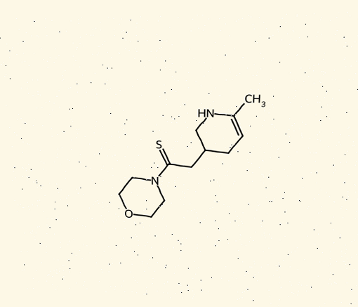 CC1=CCC(CC(=S)N2CCOCC2)CN1